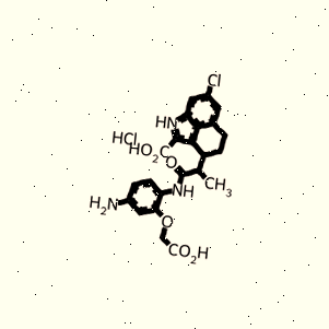 CC(C(=O)Nc1ccc(N)cc1OCC(=O)O)C1CCc2cc(Cl)cc3[nH]c(C(=O)O)c1c23.Cl